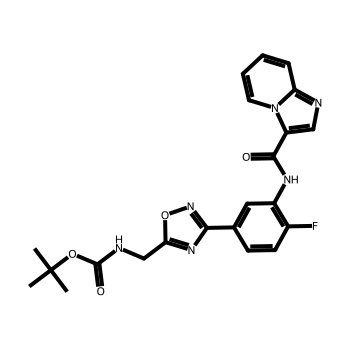 CC(C)(C)OC(=O)NCc1nc(-c2ccc(F)c(NC(=O)c3cnc4ccccn34)c2)no1